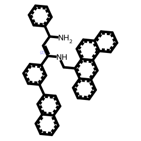 NC(/C=C(\NCc1c2ccccc2cc2c1ccc1ccccc12)c1cccc(-c2ccc3ccccc3c2)c1)c1ccccc1